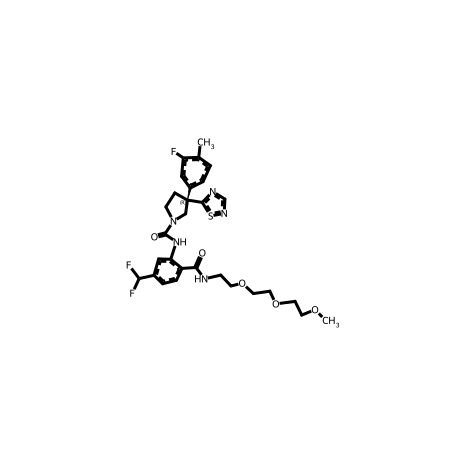 COCCOCCOCCNC(=O)c1ccc(C(F)F)cc1NC(=O)N1CC[C@](c2ccc(C)c(F)c2)(c2ncns2)C1